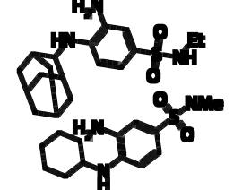 CCNS(=O)(=O)c1ccc(NC2C3CC4CC(C3)CC2C4)c(N)c1.CNS(=O)(=O)c1ccc(NC2CCCCC2)c(N)c1